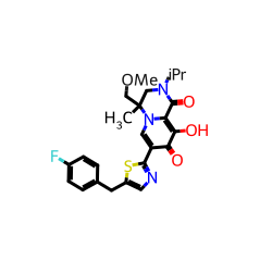 COCC1(C)CN(C(C)C)C(=O)c2c(O)c(=O)c(-c3ncc(Cc4ccc(F)cc4)s3)cn21